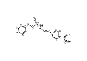 COC(=O)c1ccc(C#CCNC(=O)OCc2ccccc2)cc1